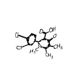 Cc1c(C)n(C)c(-c2ccc(Cl)c(Cl)c2)c(C(=O)O)c1=O